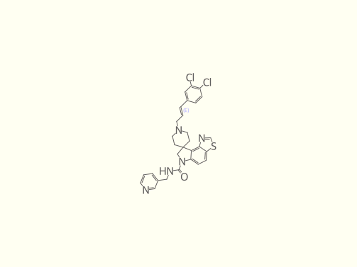 O=C(NCc1cccnc1)N1CC2(CCN(C/C=C/c3ccc(Cl)c(Cl)c3)CC2)c2c1ccc1scnc21